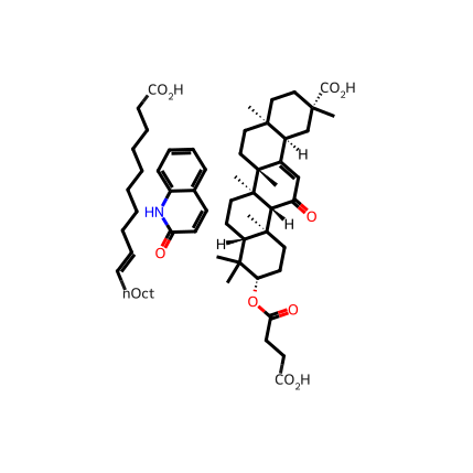 CC1(C)[C@@H](OC(=O)CCC(=O)O)CC[C@]2(C)[C@H]3C(=O)C=C4[C@@H]5C[C@@](C)(C(=O)O)CC[C@]5(C)CC[C@@]4(C)[C@]3(C)CC[C@@H]12.CCCCCCCC/C=C/CCCCCCCC(=O)O.O=c1ccc2ccccc2[nH]1